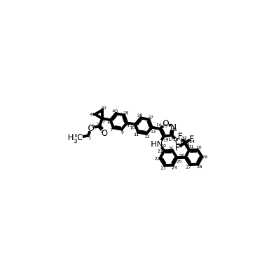 CCOC(=O)C1(c2ccc(-c3ccc(-c4onc(C)c4Nc4cccc(-c5ccccc5C(F)(F)F)c4)cc3)cc2)CC1